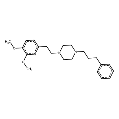 COc1ccc(CCN2CCN(CCCc3ccccc3)CC2)nc1OC